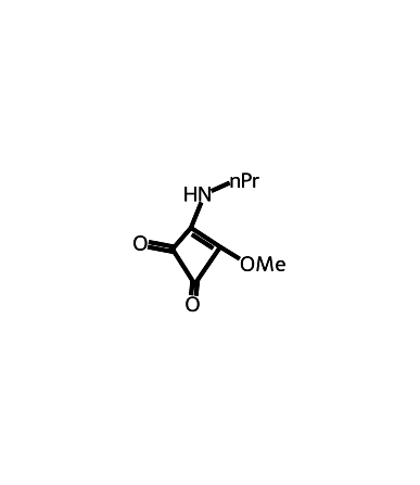 CCCNc1c(OC)c(=O)c1=O